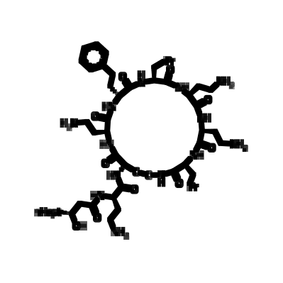 CCCCCCC[C@@H](O)CC(=O)N[C@H](CCN)C(=O)N[C@H]1CCNC(=O)[C@H](CC(C)C)NC(=O)[C@H](CCN)NC(=O)[C@H](CCN)NC(=O)[C@H](CC(C)C)NC(=O)[C@@H](CCc2ccccc2)NC(=O)[C@H](CCN)NC1=O